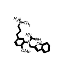 COc1ccc(CCCN(C)C)cc1N(Cc1cc2ccccc2o1)C(=N)N